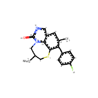 COC1CSc2c(-c3ccc(F)cc3)c(C(F)(F)F)cc3cnc(=O)n(c23)C1